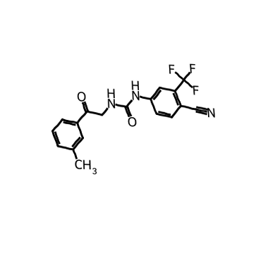 Cc1cccc(C(=O)CNC(=O)Nc2ccc(C#N)c(C(F)(F)F)c2)c1